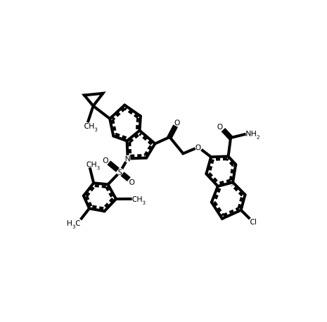 Cc1cc(C)c(S(=O)(=O)n2cc(C(=O)COc3cc4ccc(Cl)cc4cc3C(N)=O)c3ccc(C4(C)CC4)cc32)c(C)c1